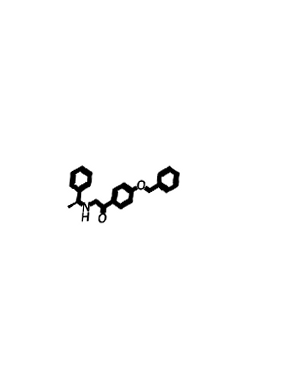 C[C@H](NCC(=O)c1ccc(OCc2ccccc2)cc1)c1ccccc1